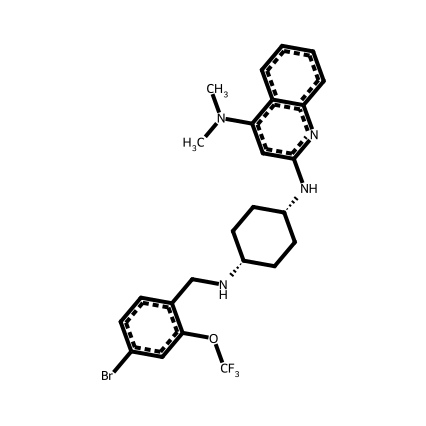 CN(C)c1cc(N[C@H]2CC[C@@H](NCc3ccc(Br)cc3OC(F)(F)F)CC2)nc2ccccc12